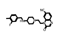 Cc1ccc(CNC2CCN(CCn3c(=O)cnc4ccc(C#N)cc43)CC2)cc1F